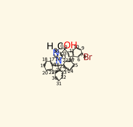 CC(O)(C1=Cc2cc(Br)ccc21)c1cn(C(c2ccccc2)(c2ccccc2)c2ccccc2)cn1